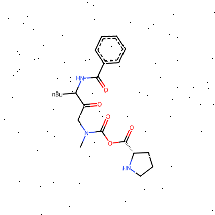 CCCCC(NC(=O)c1ccccc1)C(=O)CN(C)C(=O)OC(=O)[C@@H]1CCCN1